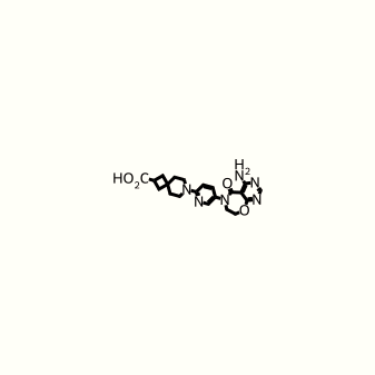 Nc1ncnc2c1C(=O)N(c1ccc(N3CCC4(CC3)CC(C(=O)O)C4)nc1)CCO2